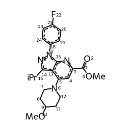 COC(=O)c1cc(N2CCC(OC)CC2)c2c(C(C)C)nn(-c3ccc(F)cc3)c2n1